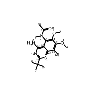 COc1c(OC)c(N(C)C(C)=O)c2c(N)nc(C(C)(C)C)nc2c1I